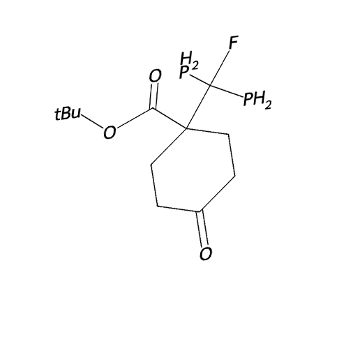 CC(C)(C)OC(=O)C1(C(F)(P)P)CCC(=O)CC1